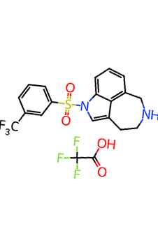 O=C(O)C(F)(F)F.O=S(=O)(c1cccc(C(F)(F)F)c1)n1cc2c3c(cccc31)CNCC2